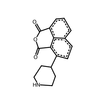 O=C1OC(=O)c2c(C3CCNCC3)ccc3cccc1c23